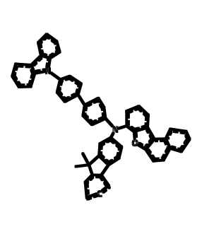 CC1(C)c2ccccc2-c2ccc(N(c3ccc(-c4ccc(-n5c6ccccc6c6ccccc65)cc4)cc3)c3cccc4c3oc3ccc5ccccc5c34)cc21